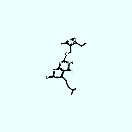 CCc1noc(C)c1COc1nc2oc(=O)cc(CCC(C)C)c2c(=O)[nH]1